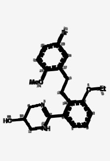 CCOc1cccc(C2=NCC(O)CN2)c1CCc1cc(Br)ccc1OC